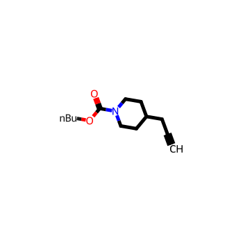 C#CCC1CCN(C(=O)OCCCC)CC1